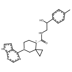 Cc1ccc(C(O)CNC(=O)[C@H]2CCN(c3ncnc4[nH]ccc34)CC23CC3)cc1